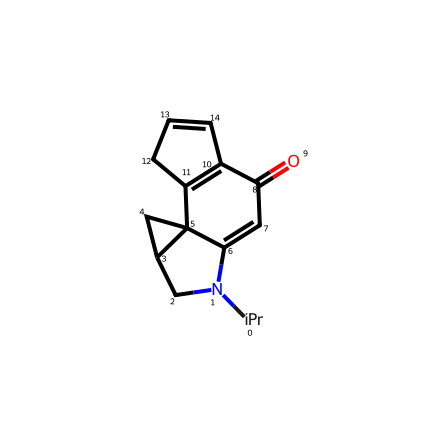 CC(C)N1CC2CC23C1=CC(=O)C1=C3CC=C1